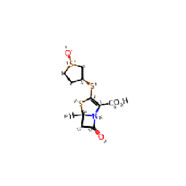 O=C(O)C1=C(S[C@H]2CC[S@@+]([O-])C2)S[C@H]2CC(=O)N12